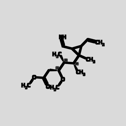 C=CC1C(C=N)C1(C)[C@H](C)[C@@H](C)[C@@H](CC(=O)OC)OC